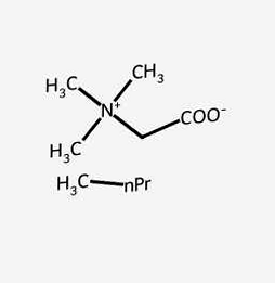 CCCC.C[N+](C)(C)CC(=O)[O-]